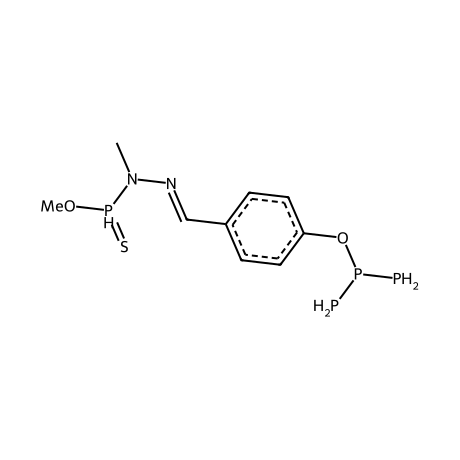 CO[PH](=S)N(C)/N=C/c1ccc(OP(P)P)cc1